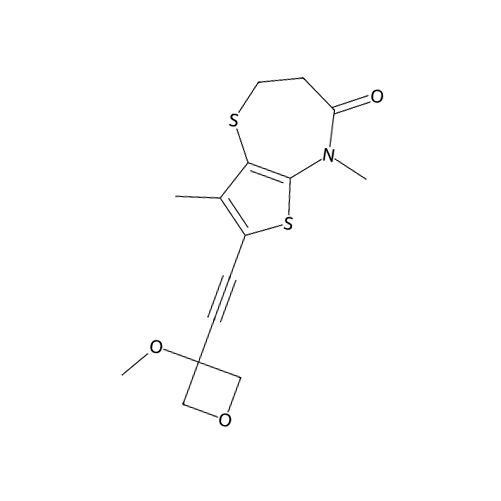 COC1(C#Cc2sc3c(c2C)SCCC(=O)N3C)COC1